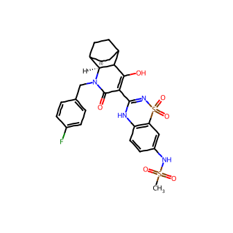 CS(=O)(=O)Nc1ccc2c(c1)S(=O)(=O)N=C(C1=C(O)C3C4CCC(CC4)[C@@H]3N(Cc3ccc(F)cc3)C1=O)N2